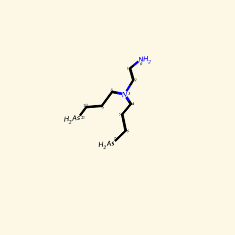 NCCN(CCC[AsH2])CCC[AsH2]